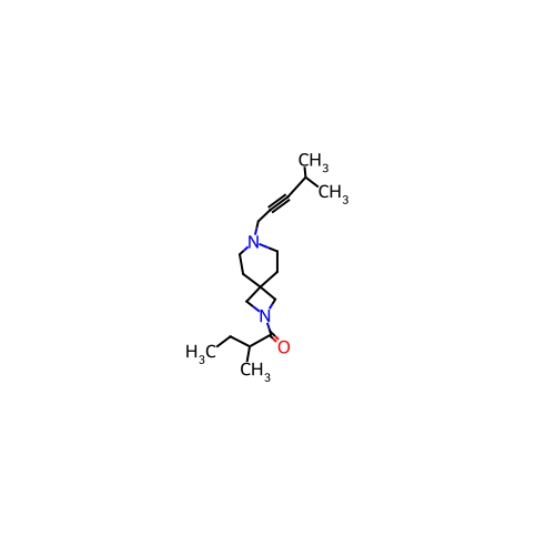 CCC(C)C(=O)N1CC2(CCN(CC#CC(C)C)CC2)C1